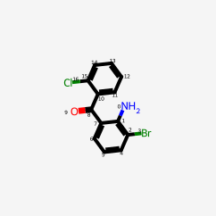 Nc1c(Br)cccc1C(=O)c1ccccc1Cl